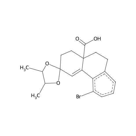 CC1OC2(C=C3c4c(Br)cccc4CCC3(C(=O)O)CC2)OC1C